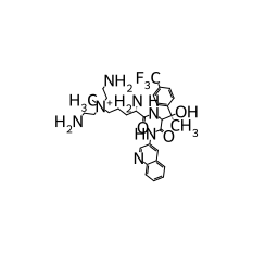 C[C@@](O)(c1ccc(C(F)(F)F)cc1)[C@H](NC(=O)[C@@H](N)CCC[N+](C)(CCN)CCN)C(=O)Nc1cnc2ccccc2c1